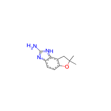 CC1(C)Cc2c(ccc3nc(N)[nH]c23)O1